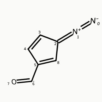 [N-]=[N+]=C1C=CC([C]=O)=C1